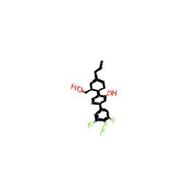 CCCC1CCC(c2ccc(-c3cc(F)c(F)c(F)c3)cc2O)C(CO)C1